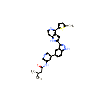 Cc1ccc(-c2nccc3[nH]c(-c4n[nH]c5ccc(-c6cncc(NC(=O)CC(C)C)c6)cc45)cc23)s1